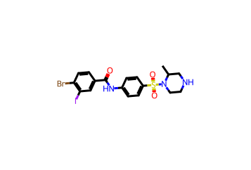 CC1CNCCN1S(=O)(=O)c1ccc(NC(=O)c2ccc(Br)c(I)c2)cc1